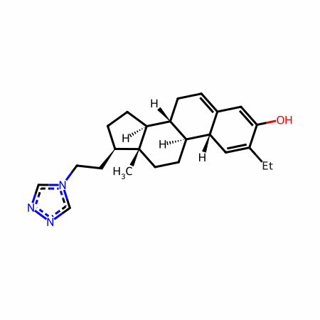 CCC1=C[C@H]2C(=CC[C@@H]3[C@@H]2CC[C@]2(C)[C@@H](CCn4cnnc4)CC[C@@H]32)C=C1O